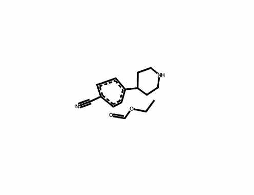 CCOC=O.N#Cc1ccc(C2CCNCC2)cc1